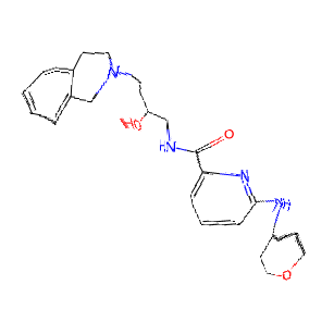 O=C(NCC(O)CN1CCc2ccccc2C1)c1cccc(NC2CCOCC2)n1